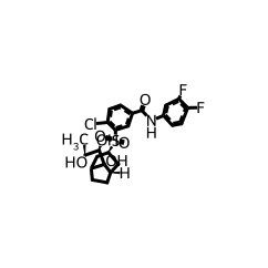 C[C@H](O)[C@@H](O)[C@@]1(O)C2CC[C@H]1C[C@H](S(=O)(=O)c1cc(C(=O)Nc3ccc(F)c(F)c3)ccc1Cl)C2